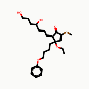 CCOC1(CCCCOc2ccccc2)C=C(SC)C(=O)/C1=C\C=C\C(O)CCCO